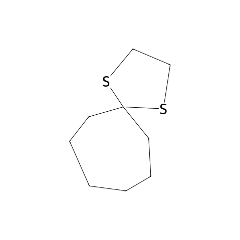 C1CCCC2(CC1)SCCS2